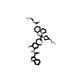 CCOC(=O)[C@H]1CC[C@H](OC(C(=O)Cc2cc(Cl)c(NC(=O)c3coc4ccccc34)cc2F)(N2CCCC2)N2CC(OC)C2)CC1